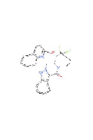 Cn1nc2ccccc2c1C(=O)N1CCC(F)(F)[C@@H](Oc2ccc3ccccc3n2)C1